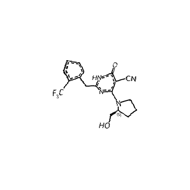 N#Cc1c(N2CCC[C@H]2CO)nc(Cc2ccccc2C(F)(F)F)[nH]c1=O